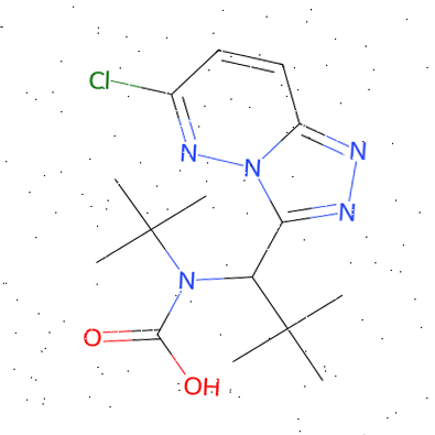 CC(C)(C)C(c1nnc2ccc(Cl)nn12)N(C(=O)O)C(C)(C)C